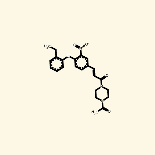 CCc1ccccc1Sc1ccc(C=CC(=O)N2CCN(C(C)=O)CC2)cc1[N+](=O)[O-]